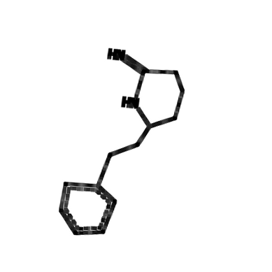 N=C1CCCC(CCc2ccccc2)N1